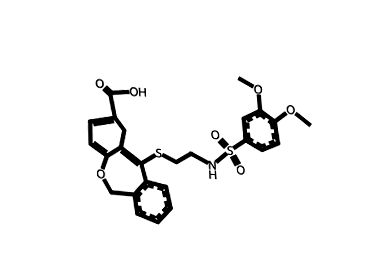 COc1ccc(S(=O)(=O)NCCSC2=C3CC(C(=O)O)=CC=C3OCc3ccccc32)cc1OC